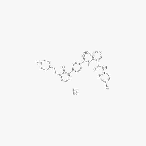 CN1CCN(CCn2cccc(-c3ccc(C(=O)Nc4c(O)cccc4C(=O)Nc4ccc(Cl)cn4)cc3)c2=O)CC1.Cl.Cl